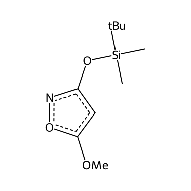 COc1cc(O[Si](C)(C)C(C)(C)C)no1